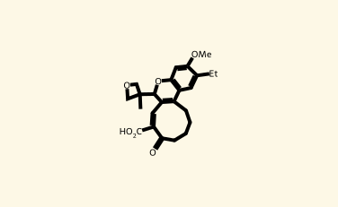 CCc1cc2c(cc1OC)OC(C1(C)COC1)C1=C2CCCCC(=O)/C(C(=O)O)=C\1